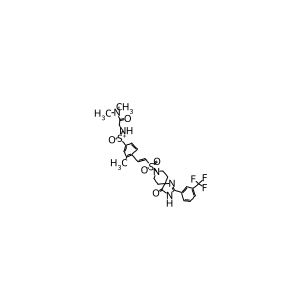 Cc1cc([S+]([O-])NCC(=O)N(C)C)ccc1/C=C/S(=O)(=O)N1CCC2(CC1)N=C(c1cccc(C(F)(F)F)c1)NC2=O